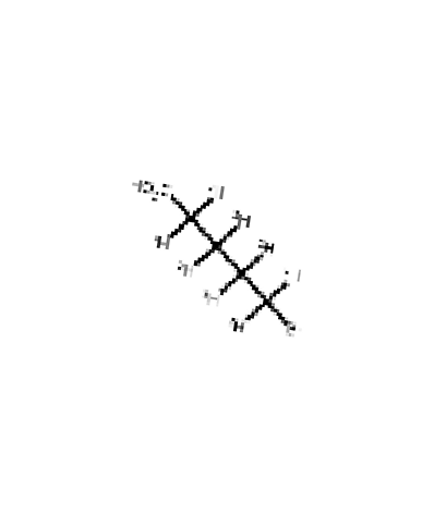 [2H]C([2H])(Br)C([2H])([2H])C([2H])([2H])C([2H])([2H])C(=O)O